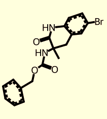 CC1(NC(=O)OCc2ccccc2)Cc2cc(Br)ccc2NC1=O